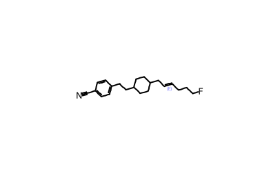 N#Cc1ccc(CCC2CCC(C/C=C/CCCF)CC2)cc1